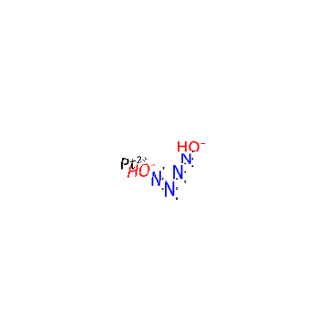 [N].[N].[N].[N].[OH-].[OH-].[Pt+2]